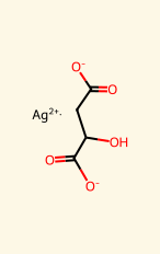 O=C([O-])CC(O)C(=O)[O-].[Ag+2]